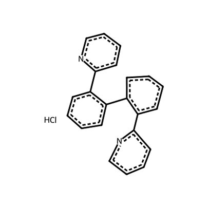 Cl.c1ccc(-c2ccccc2-c2ccccc2-c2ccccn2)nc1